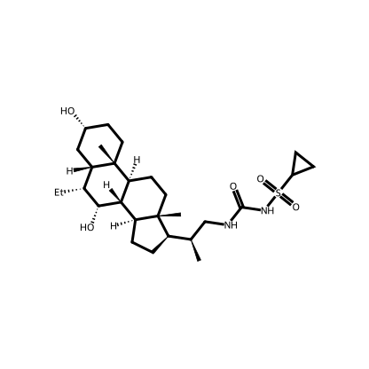 CC[C@H]1[C@@H](O)[C@@H]2[C@H](CC[C@]3(C)[C@@H]([C@H](C)CNC(=O)NS(=O)(=O)C4CC4)CC[C@@H]23)[C@@]2(C)CC[C@@H](O)C[C@@H]12